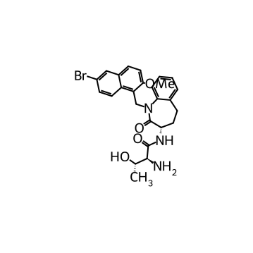 COc1ccc2cc(Br)ccc2c1CN1C(=O)[C@@H](NC(=O)[C@@H](N)[C@H](C)O)CCc2ccccc21